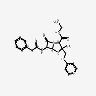 CC1(CSc2ccncc2)SC2C(NC(=O)Cc3ccccc3)C(=O)N2C1C(=O)OCC(Cl)(Cl)Cl